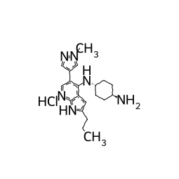 CCCc1cc2c(N[C@H]3CC[C@H](N)CC3)c(-c3cnn(C)c3)cnc2[nH]1.Cl